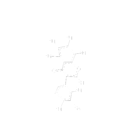 [2H]c1ccc(-c2c([2H])oc3c([2H])c([2H])c([2H])c([2H])c3c2=O)c([2H])c1[2H]